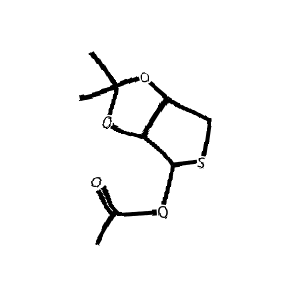 CC(=O)OC1SCC2OC(C)(C)OC21